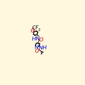 O=C(NCc1ccc(OC(F)(F)F)cc1)c1ccnc(NC(=O)C2CC2)c1